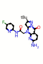 CC(C)(C)c1cc2n(CC(=O)Nc3ccc(F)cn3)c3nc(N)ccc3c(=O)n2n1